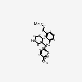 CON=Cc1cccc(OC(c2ccc(C(F)(F)F)nn2)C2CCCNC2)c1